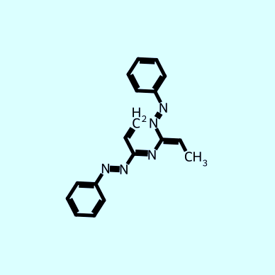 C=CC(/N=N/c1ccccc1)=N\C(=C/C)\N=N\c1ccccc1